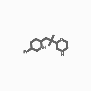 CC(C)C1CCC(CC(C)(C)C2CNCCO2)NC1